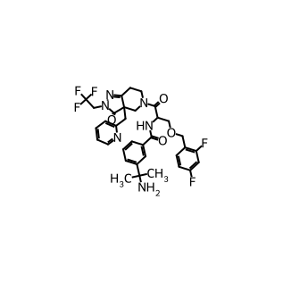 CC(C)(N)c1cccc(C(=O)NC(COCc2ccc(F)cc2F)C(=O)N2CCC3=NN(CC(F)(F)F)C(=O)C3(Cc3ccccn3)C2)c1